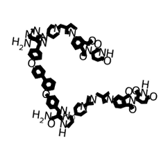 NC(=O)c1c(-c2ccc(Oc3cccc(-c4ccc(Oc5ccc(-c6nn(C7CCN(CC8CCN(c9ccc%10c(c9)C(=O)N(C9CCC(=O)NC9=O)C%10=O)C8)CC7)c7ncnc(N)c67)cc5)cc4)c3)cc2)nn2c1NCC[C@H]2C1CCN(C2CN(CC3CN(c4ccc5c(c4)C(=O)N(C4CCC(=O)NC4=O)C5=O)C3)C2)CC1